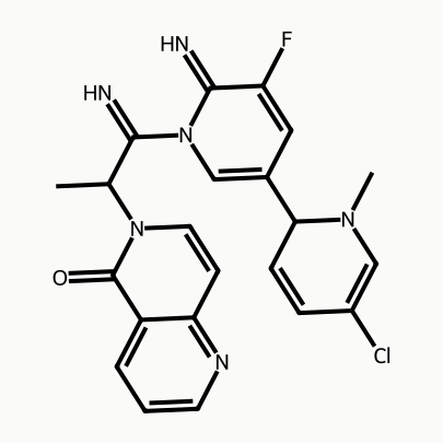 CC(C(=N)n1cc(C2C=CC(Cl)=CN2C)cc(F)c1=N)n1ccc2ncccc2c1=O